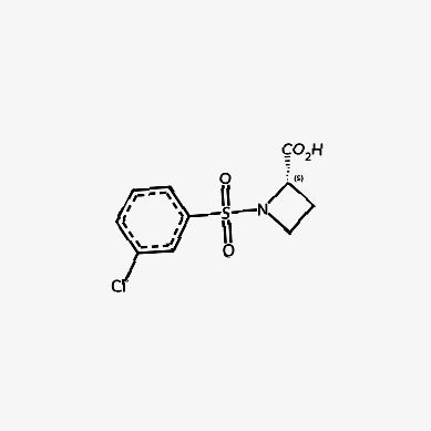 O=C(O)[C@@H]1CCN1S(=O)(=O)c1cccc(Cl)c1